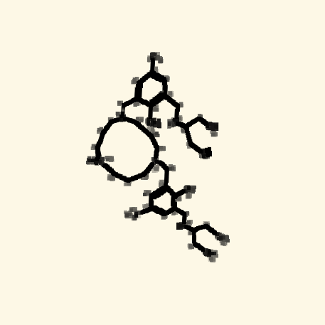 Cc1cc(CNC(CO)CO)c(O)c(CN2CCCNCCCN(Cc3cc(C)cc(CNC(CO)CO)c3O)CCC2)c1